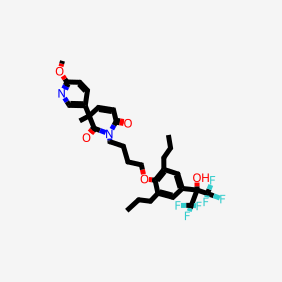 CCCc1cc(C(O)(C(F)(F)F)C(F)(F)F)cc(CCC)c1OCCCCN1C(=O)C=CC(C)(c2ccc(OC)nc2)C1=O